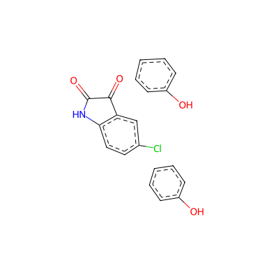 O=C1Nc2ccc(Cl)cc2C1=O.Oc1ccccc1.Oc1ccccc1